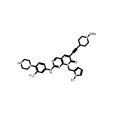 CCn1cccc1Cn1c(=O)c(C#CC2CCN(SC)CC2)cc2cnc(Nc3ccc(N4CCNCC4)c(C)c3)nc21